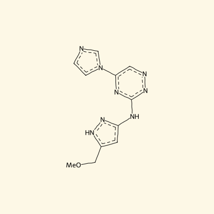 COCc1cc(Nc2nncc(-n3ccnc3)n2)n[nH]1